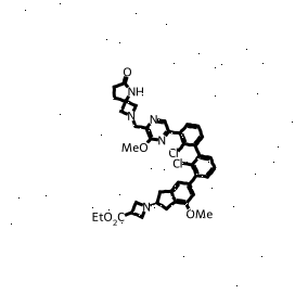 CCOC(=O)C1CN([C@H]2Cc3cc(-c4cccc(-c5cccc(-c6cnc(CN7CC8(CCC(=O)N8)C7)c(OC)n6)c5Cl)c4Cl)cc(OC)c3C2)C1